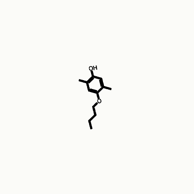 CCCCOc1cc(C)c(O)cc1C